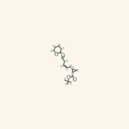 CC(C)(C)OC(=O)[C@@H]1C[C@@H]1C/C=C\CCOC1CCCCO1